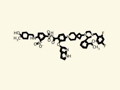 CC(C)c1ccccc1C1CN(Cc2ccc(F)cc2F)CCN1C1CC2(CCN(c3ccc(C(=O)NS(=O)(=O)c4ccc(NCC5CCC(C)(O)CC5)c([N+](=O)[O-])c4)c(Oc4cnc5[nH]ccc5c4)c3)CC2)C1